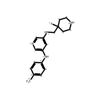 FC1(CNc2cncc(Nc3ccc(C(F)(F)F)cc3)c2)CCNCC1